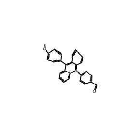 COc1ccc(-c2c3ccccc3c(-c3ccc(C=O)cc3)c3ccccc23)cc1